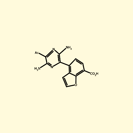 CC(=O)c1nc(N)c(-c2ccc(C(=O)O)c3occc23)nc1N